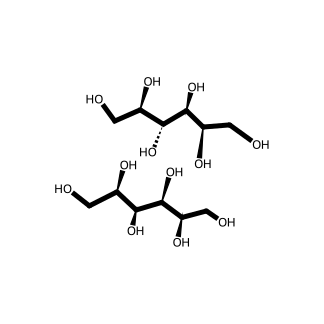 OC[C@@H](O)[C@H](O)[C@@H](O)[C@H](O)CO.OC[C@@H](O)[C@H](O)[C@H](O)[C@H](O)CO